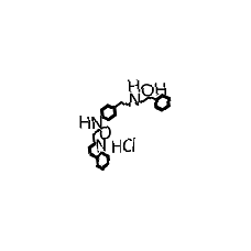 Cl.O=C(Cc1ccc2ccccc2n1)Nc1ccc(CCNCC(O)c2ccccc2)cc1